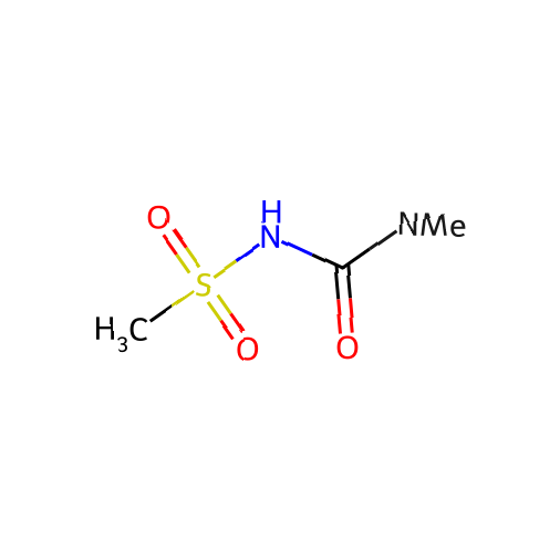 CNC(=O)NS(C)(=O)=O